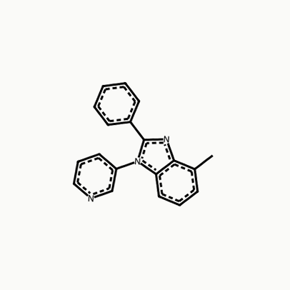 Cc1cccc2c1nc(-c1ccccc1)n2-c1cccnc1